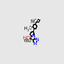 Cc1cc(C2(C#N)CCC2)ccc1-c1ccc(C(O)(c2cncnc2)C(C)(C)C)nc1